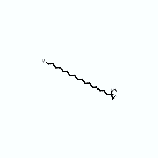 CCCCCCCCCCCCCCCCCCC1(N)CO1